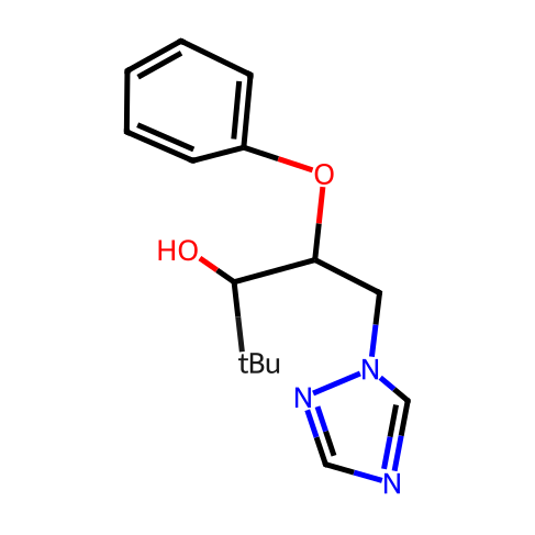 CC(C)(C)C(O)C(Cn1cncn1)Oc1ccccc1